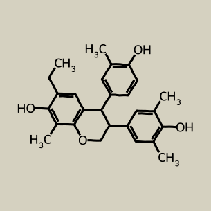 CCc1cc2c(c(C)c1O)OCC(c1cc(C)c(O)c(C)c1)C2c1ccc(O)c(C)c1